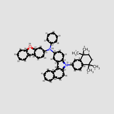 CC1(C)CCC(C)(C)c2cc(-n3c4ccc(N(c5ccccc5)c5ccc6c(c5)oc5ccccc56)cc4c4c5ccccc5ccc43)ccc21